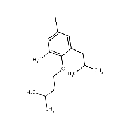 Cc1cc(I)cc(CC(C)C)c1OCCC(C)C